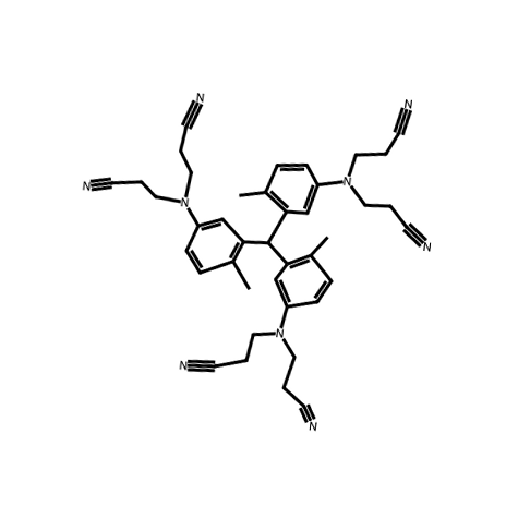 Cc1ccc(N(CCC#N)CCC#N)cc1C(c1cc(N(CCC#N)CCC#N)ccc1C)c1cc(N(CCC#N)CCC#N)ccc1C